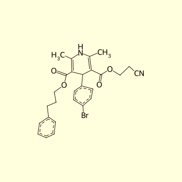 CC1=C(C(=O)OCCC#N)C(c2ccc(Br)cc2)C(C(=O)OCCCc2ccccc2)=C(C)N1